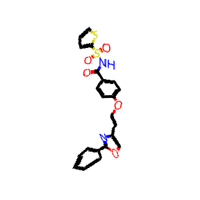 O=C(NS(=O)(=O)c1cccs1)c1ccc(OCCc2coc(-c3ccccc3)n2)cc1